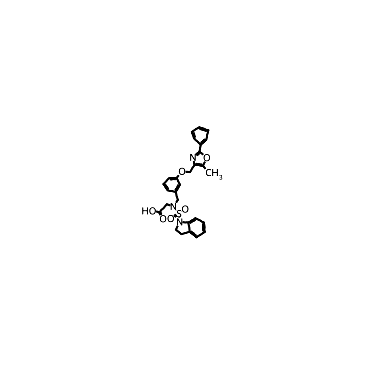 Cc1oc(-c2ccccc2)nc1COc1cccc(CN(CC(=O)O)S(=O)(=O)N2CCc3ccccc32)c1